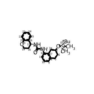 CC(C)(C)[Si](C)(C)OC1CCc2cccc(NC(=O)N[C@@H]3CCOc4ccccc43)c2C1